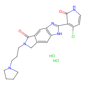 Cl.Cl.O=C1c2cc3nc(-c4c(Cl)cc[nH]c4=O)[nH]c3cc2CN1CCCN1CCCC1